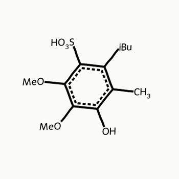 CCC(C)c1c(C)c(O)c(OC)c(OC)c1S(=O)(=O)O